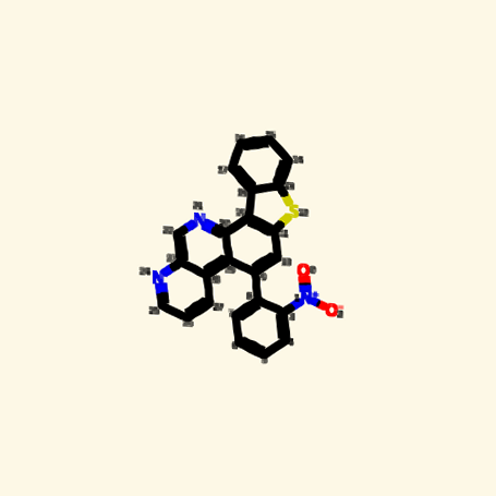 O=[N+]([O-])c1ccccc1-c1cc2sc3ccccc3c2c2ncc3ncccc3c12